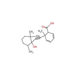 CC1CCCC(C)(C)C1(O)C#CC1(C)C=CC=CC1C(=O)O